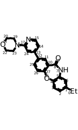 CCc1ccc2c(c1)NC(=O)c1cc(-c3ccnc(N4CCOCC4)c3)ccc1O2